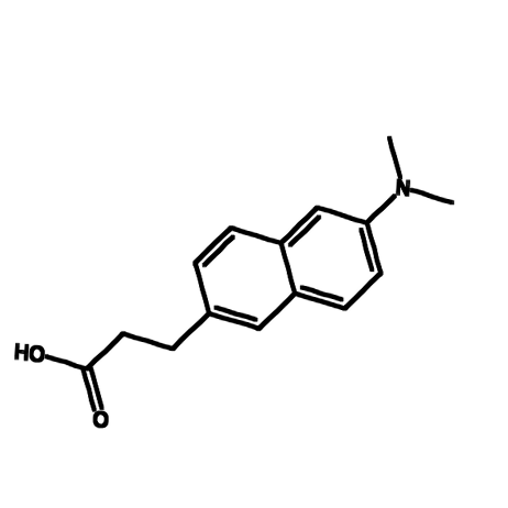 CN(C)c1ccc2cc(CCC(=O)O)ccc2c1